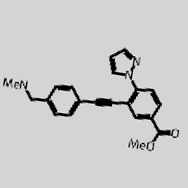 CNCc1ccc(C#Cc2cc(C(=O)OC)ccc2-n2cccn2)cc1